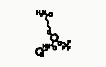 NC(=O)CCCCOc1ccc(OCC(F)(F)F)c(C(=O)NCc2ccccn2)c1